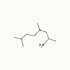 CC(N)CN(C)CCN(C)C